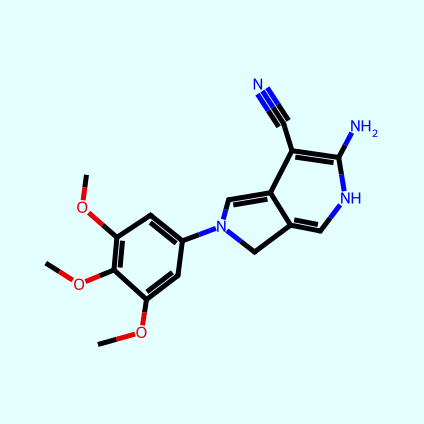 COc1cc(N2C=C3C(=CNC(N)=C3C#N)C2)cc(OC)c1OC